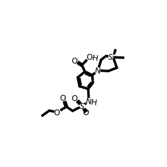 CCOC(=O)CS(=O)(=O)Nc1ccc(C(=O)O)c(N2CC[Si](C)(C)CC2)c1